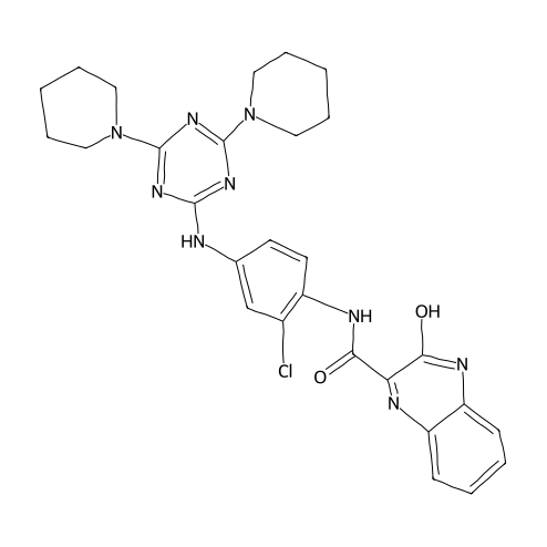 O=C(Nc1ccc(Nc2nc(N3CCCCC3)nc(N3CCCCC3)n2)cc1Cl)c1nc2ccccc2nc1O